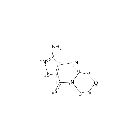 N#Cc1c(N)nsc1C(=S)N1CCOCC1